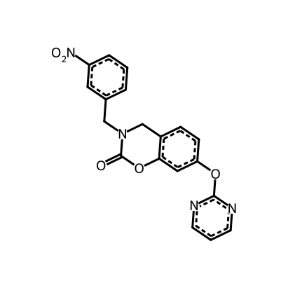 O=C1Oc2cc(Oc3ncccn3)ccc2CN1Cc1cccc([N+](=O)[O-])c1